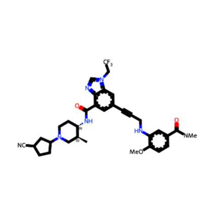 CNC(=O)c1ccc(OC)c(NCC#Cc2cc(C(=O)N[C@H]3CCN(C4CCC(C#N)C4)C[C@@H]3C)c3ncn(CC(F)(F)F)c3c2)c1